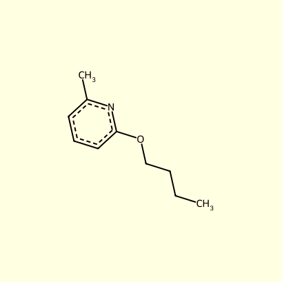 CCCCOc1cccc(C)n1